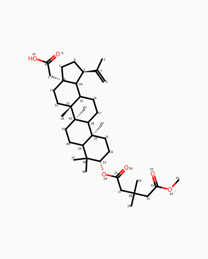 C=C(C)[C@@H]1CC[C@]2(CC(=O)O)CC[C@]3(C)C(CCC4[C@@]5(C)CC[C@H](OC(=O)CC(C)(C)CC(=O)OC)C(C)(C)C5CC[C@]43C)C12